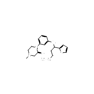 CNCCC(Oc1cccc(N2CCN(C)CC2=O)c1)c1cccs1